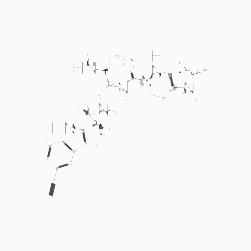 C#Cc1ccc2[nH]c(S(=O)(=O)N3CCN(C(=O)N4CCC5=C(N4)SC(C)N5C)C(C(=O)NC)C3)cc2c1